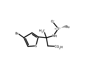 CC(CC(=O)O)(N[S@+]([O-])C(C)(C)C)c1cc(Br)cs1